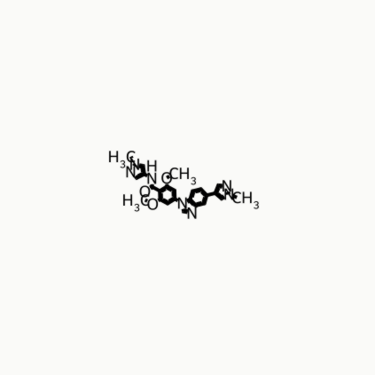 COc1cc(-n2cnc3cc(-c4cnn(C)c4)ccc32)cc(OC)c1C(=O)Nc1cnn(C)c1